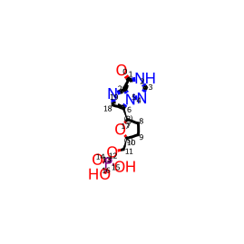 O=c1[nH]cnn2c([C@H]3CC[C@@H](COP(=O)(O)O)O3)cnc12